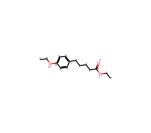 CCOC(=O)CCCCc1ccc(OCC)cc1